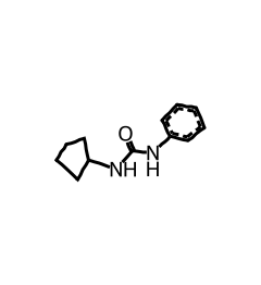 O=C(Nc1ccccc1)NC1CCCC1